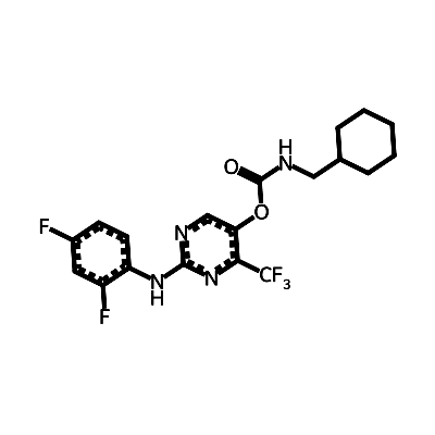 O=C(NCC1CCCCC1)Oc1cnc(Nc2ccc(F)cc2F)nc1C(F)(F)F